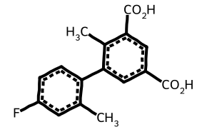 Cc1cc(F)ccc1-c1cc(C(=O)O)cc(C(=O)O)c1C